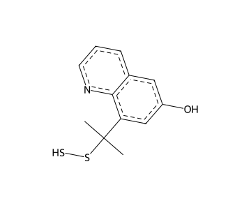 CC(C)(SS)c1cc(O)cc2cccnc12